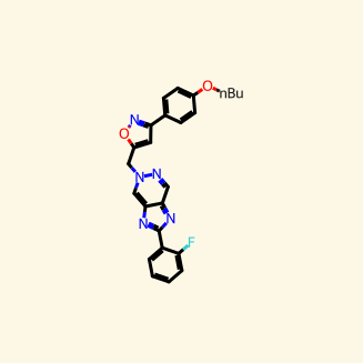 CCCCOc1ccc(-c2cc(Cn3cc4nc(-c5ccccc5F)nc-4cn3)on2)cc1